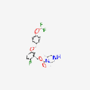 C[C@@H]1CNC[C@H](C)N1C(=O)OCc1cc(OCc2ccc(OC(F)F)cc2)ccc1F